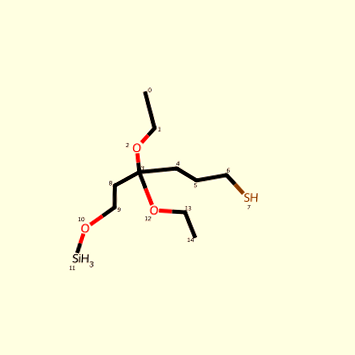 CCOC(CCCS)(CCO[SiH3])OCC